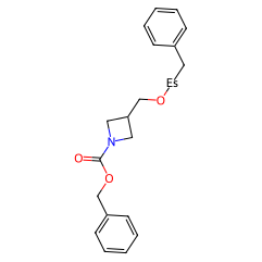 O=C(OCc1ccccc1)N1CC(C[O][Es][CH2]c2ccccc2)C1